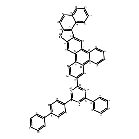 c1ccc(-c2ccc(-c3nc(-c4ccccc4)nc(-c4ccc5c(c4)c4ccccc4c4cc6c(cc54)oc4ccc5ccccc5c46)n3)cc2)cc1